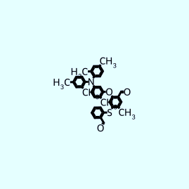 Cc1ccc(N(c2ccc(C)c(Oc3cc(Sc4ccccc4C=O)c(C)cc3C=O)c2)c2ccc(C)cc2C)c(C)c1